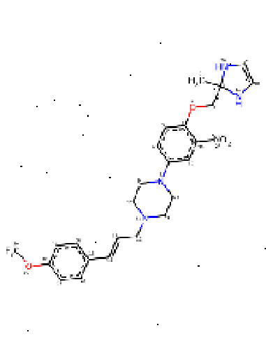 CC1(COc2ccc(N3CCN(CC=Cc4ccc(OC(F)(F)F)cc4)CC3)cc2[N+](=O)[O-])NC=CN1